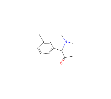 CC(=O)C(c1cccc(C)c1)N(C)C